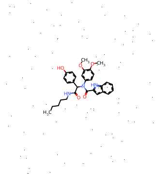 CCCCCNC(=O)C(c1ccc(O)cc1)N(C(=O)c1cc2ccccc2[nH]1)c1ccc(OC)c(OC)c1